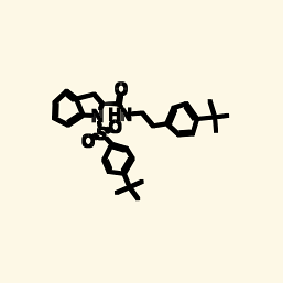 CC(C)(C)c1ccc(CCNC(=O)[C@@H]2Cc3ccccc3N2S(=O)(=O)c2ccc(C(C)(C)C)cc2)cc1